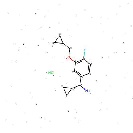 Cl.NC(c1ccc(F)c(OCC2CC2)c1)C1CC1